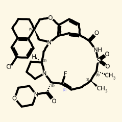 C[C@@H]1[C@@H](C)C/C=C(\F)[C@H](C(=O)N2CCOCC2)N2CCC[C@H]2CN2C[C@@]3(CCCc4cc(Cl)ccc43)COc3ccc(cc32)C(=O)NS1(=O)=O